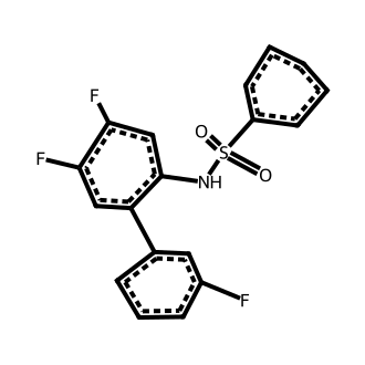 O=S(=O)(Nc1cc(F)c(F)cc1-c1cccc(F)c1)c1ccccc1